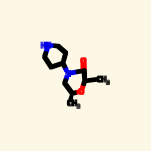 CC1O[C@@H](C)CN(C2CCNCC2)C1=O